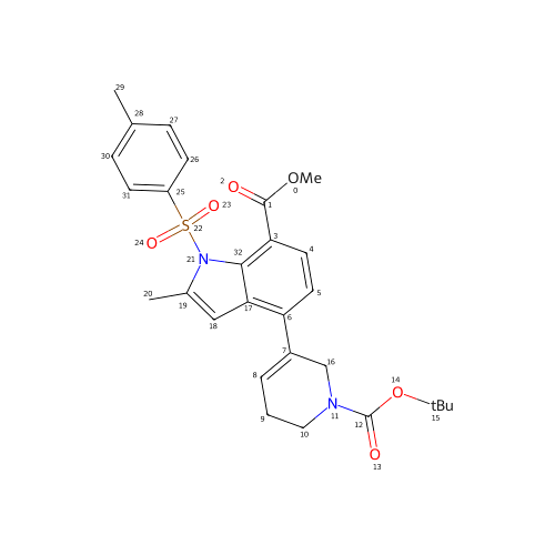 COC(=O)c1ccc(C2=CCCN(C(=O)OC(C)(C)C)C2)c2cc(C)n(S(=O)(=O)c3ccc(C)cc3)c12